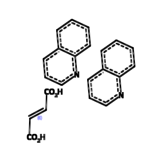 O=C(O)/C=C/C(=O)O.c1ccc2ncccc2c1.c1ccc2ncccc2c1